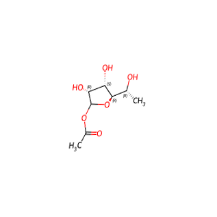 CC(=O)OC1O[C@H]([C@@H](C)O)[C@@H](O)[C@H]1O